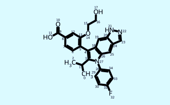 CC(C)c1c(-c2ccc(C(=O)O)cc2OCCO)c2cc3[nH]ncc3cc2n1-c1ccc(F)cc1